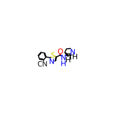 C[C@H]1[C@H](NC(=O)c2cnc(-c3ccccc3C#N)s2)C2CCN1CC2